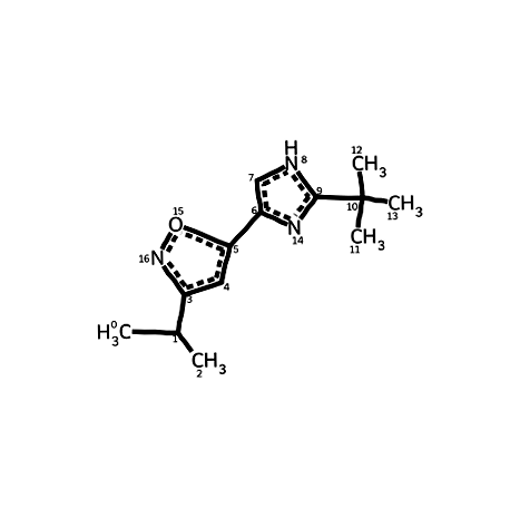 CC(C)c1cc(-c2c[nH]c(C(C)(C)C)n2)on1